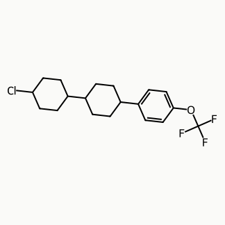 FC(F)(F)Oc1ccc(C2CCC(C3CCC(Cl)CC3)CC2)cc1